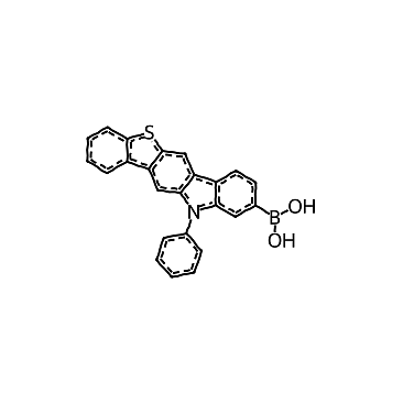 OB(O)c1ccc2c3cc4sc5ccccc5c4cc3n(-c3ccccc3)c2c1